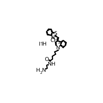 C[n+]1c(/C=C2\C=CN(CCCCCC(=O)NCCN)c3ccccc32)sc2ccccc21.I.[I-]